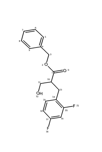 O=C(OCc1ccccc1)C(CO)Cc1ccc(F)cc1F